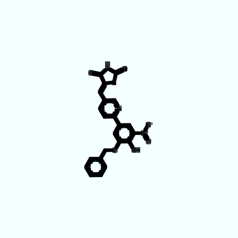 O=C1NC(=O)C(=Cc2ccc(-c3cc(OCc4ccccc4)c(O)c([N+](=O)[O-])c3)nc2)S1